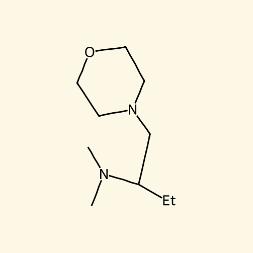 CCC(CN1CCOCC1)N(C)C